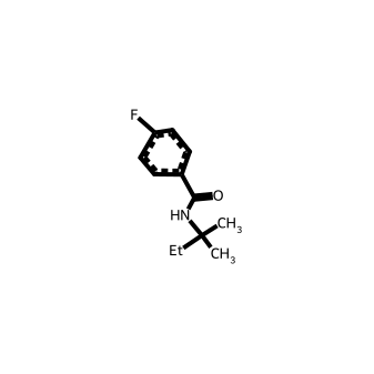 CCC(C)(C)NC(=O)c1ccc(F)cc1